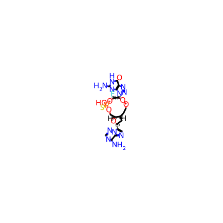 Nc1nc2c(nnn2[C@@H]2OOCC[C@H]3C[C@H](c4cnc5c(N)ncnn45)O[C@@H]3COP(O)(=S)O[C@@H]2F)c(=O)[nH]1